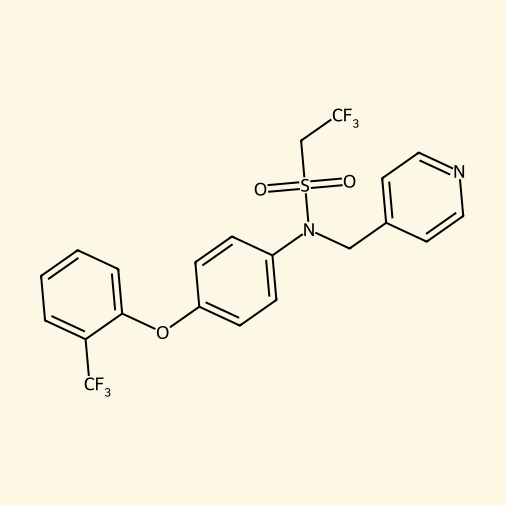 O=S(=O)(CC(F)(F)F)N(Cc1ccncc1)c1ccc(Oc2ccccc2C(F)(F)F)cc1